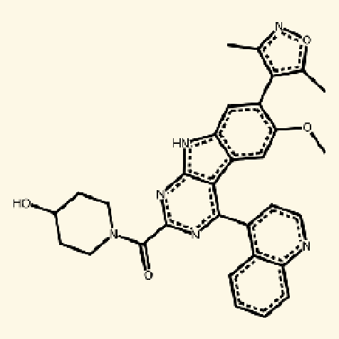 COc1cc2c(cc1-c1c(C)noc1C)[nH]c1nc(C(=O)N3CCC(O)CC3)nc(-c3ccnc4ccccc34)c12